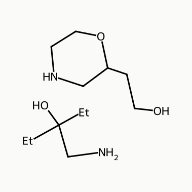 CCC(O)(CC)CN.OCCC1CNCCO1